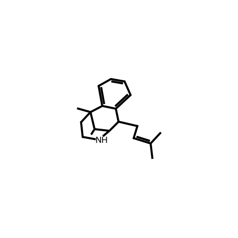 CC(C)=CCC1c2ccccc2C2(C)CCNC1C2C